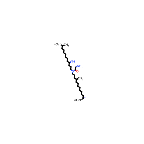 C=C(CCCCCCC/C=C\CCCCCCCC)CCCN(CCCC(=N)CCCCCCCC(C)CCCCCCCC)C(=O)CN